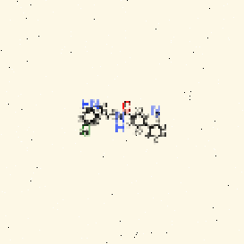 N#Cc1ccccc1-c1ccc(C(=O)NCCc2c[nH]c3ccc(Cl)cc23)cc1